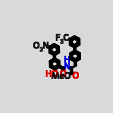 COC(=O)[C@H](Cc1ccc(-c2cccc(C(F)(F)F)c2)cc1)NC(=O)c1cc(-c2cccc([N+](=O)[O-])c2)ccc1O